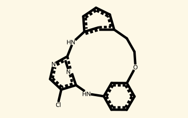 Clc1cnc2nc1Nc1cccc(c1)OCCc1cccc(c1)N2